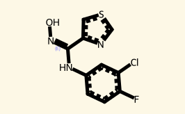 O/N=C(/Nc1ccc(F)c(Cl)c1)c1cscn1